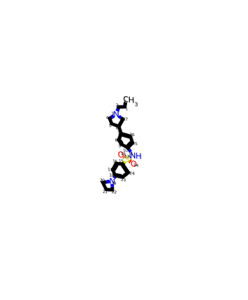 CCCN1CCC(c2ccc(NS(=O)(=O)c3ccc(N4CCC4)cc3)cc2)C1